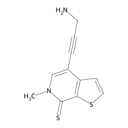 Cn1cc(C#CCN)c2ccsc2c1=S